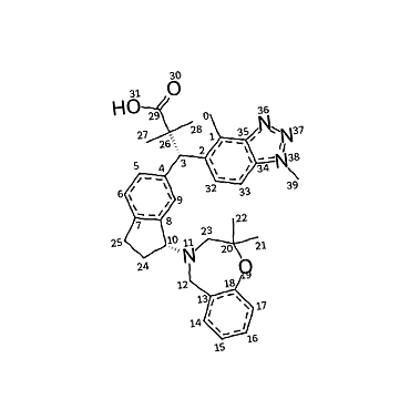 Cc1c([C@H](c2ccc3c(c2)[C@H](N2Cc4ccccc4OC(C)(C)C2)CC3)C(C)(C)C(=O)O)ccc2c1nnn2C